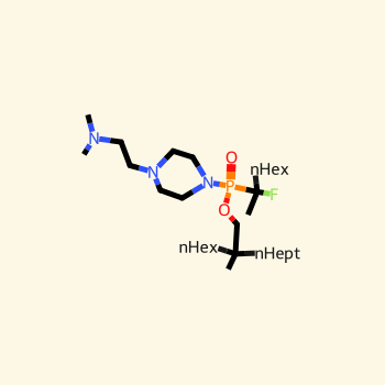 CCCCCCCC(C)(CCCCCC)COP(=O)(N1CCN(CCN(C)C)CC1)C(C)(F)CCCCCC